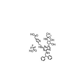 CCC(=O)N[C@H]1C[C@@H](n2cnc3c(NCC(c4ccccc4)c4ccccc4)nc(NCCc4cn(CC(=O)O)cn4)nc32)[C@H](O)[C@@H]1O.O=C(O)C(F)(F)F